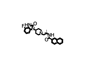 C[C@@H](CN1CCC(n2c(=O)[nH]c3c(F)cccc32)CC1)NC(=O)c1ccc2ccccc2c1